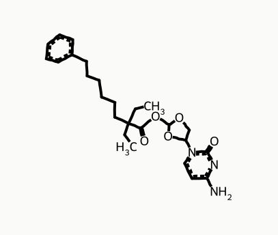 CCC(CC)(CCCCCCc1ccccc1)C(=O)OC1OCC(n2ccc(N)nc2=O)O1